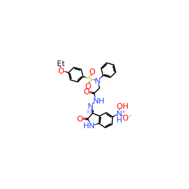 CCOc1ccc(S(=O)(=O)N(CC(=O)N/N=C2/C(=O)Nc3ccc([NH+]([O-])O)cc32)c2ccccc2)cc1